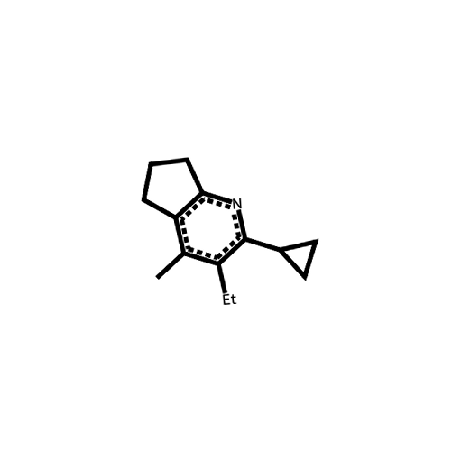 CCc1c(C2CC2)nc2c(c1C)CCC2